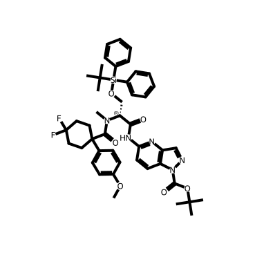 COc1ccc(C2(C(=O)N(C)[C@H](CO[Si](c3ccccc3)(c3ccccc3)C(C)(C)C)C(=O)Nc3ccc4c(cnn4C(=O)OC(C)(C)C)n3)CCC(F)(F)CC2)cc1